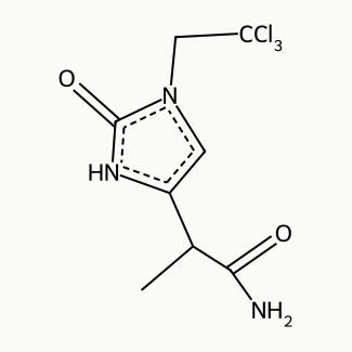 CC(C(N)=O)c1cn(CC(Cl)(Cl)Cl)c(=O)[nH]1